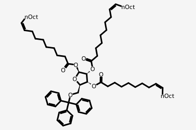 CCCCCCCC/C=C\CCCCCCCC(=O)O[C@@H]1O[C@H](COC(c2ccccc2)(c2ccccc2)c2ccccc2)[C@@H](OC(=O)CCCCCCC/C=C\CCCCCCCC)[C@H]1OC(=O)CCCCCCC/C=C\CCCCCCCC